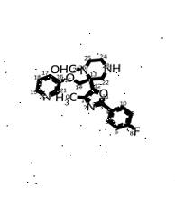 Cc1nc(-c2ccc(F)cc2)oc1C1(COc2cccnc2)CNCCN1C=O